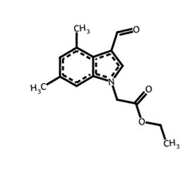 CCOC(=O)Cn1cc(C=O)c2c(C)cc(C)cc21